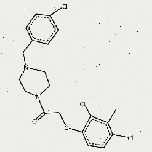 Cc1c(Cl)ccc(OCC(=O)N2CCN(Cc3ccc(Cl)cc3)CC2)c1Cl